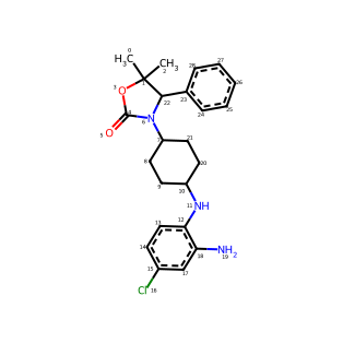 CC1(C)OC(=O)N(C2CCC(Nc3ccc(Cl)cc3N)CC2)C1c1ccccc1